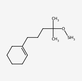 CC(C)(CCCC1=CCCCC1)O[SiH3]